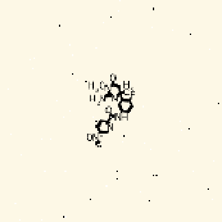 CN1C(=O)CC(C)(c2cc(NC(=O)c3ccc([N+](=O)[O-])cn3)ccc2F)N=C1N